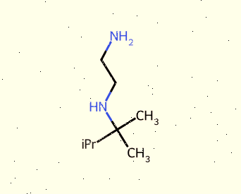 CC(C)C(C)(C)NCCN